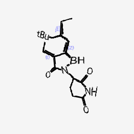 C/C=C1/C(=O)N(C2CCC(=O)NC2=O)B/C1=C/C(=C\C)C(C)(C)C